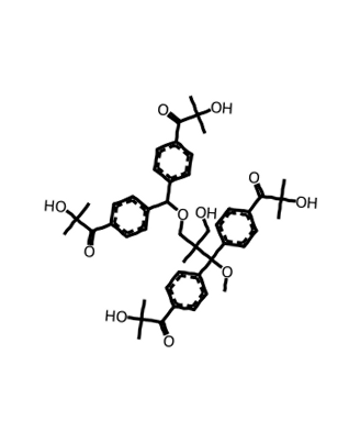 COC(c1ccc(C(=O)C(C)(C)O)cc1)(c1ccc(C(=O)C(C)(C)O)cc1)C(C)(CO)COC(c1ccc(C(=O)C(C)(C)O)cc1)c1ccc(C(=O)C(C)(C)O)cc1